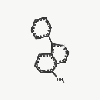 Nc1cccc2c(-c3ccccc3)nccc12